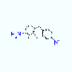 Cc1c(N)ccc(Cc2ccc(N(C)C)cc2)c1C